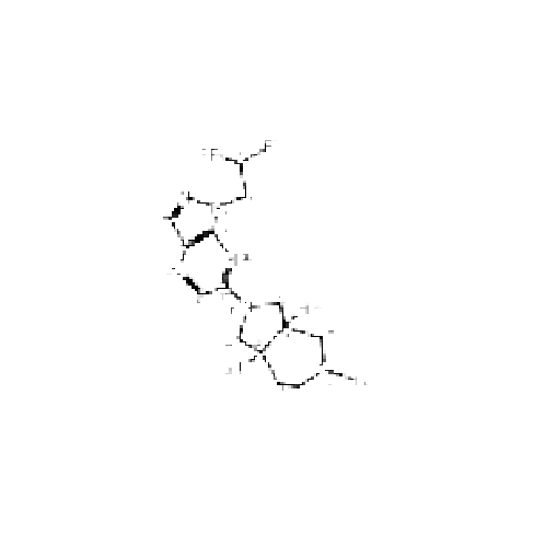 FC(F)Cn1ncc2ncc(N3C[C@H]4CCN(I)C[C@H]4C3)nc21